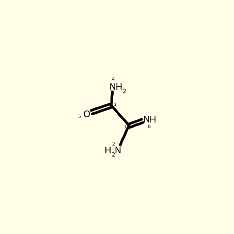 N=C(N)C(N)=O